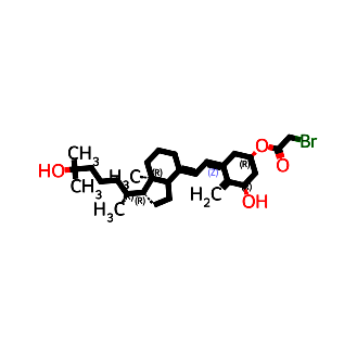 C=C1/C(=C\C=C2CCC[C@@]3(C)C2CC[C@@H]3[C@H](C)CCCC(C)(C)O)C[C@@H](OC(=O)CBr)C[C@H]1O